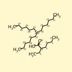 CCCCC(CC)C(=O)O.CCCCC[CH2][Sn]([CH2]CCCCC)[CH2]CCCCC